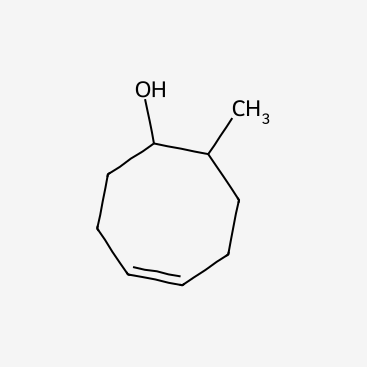 CC1CC/C=C\CCC1O